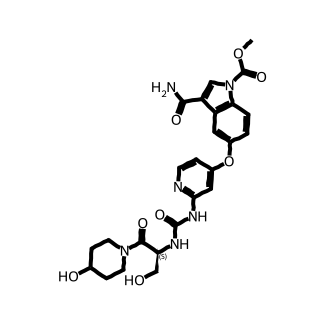 COC(=O)n1cc(C(N)=O)c2cc(Oc3ccnc(NC(=O)N[C@@H](CO)C(=O)N4CCC(O)CC4)c3)ccc21